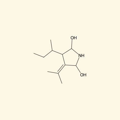 CCC(C)C1C(=C(C)C)C(O)NC1O